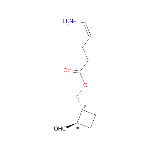 N/C=C\CCC(=O)OC[C@@H]1CC[C@H]1C=O